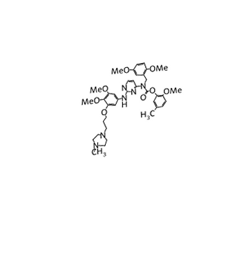 COc1ccc(OC)c(CN(C(=O)Oc2cc(C)ccc2OC)c2ccnc(Nc3cc(OC)c(OC)c(OCCCN4CCN(C)CC4)c3)n2)c1